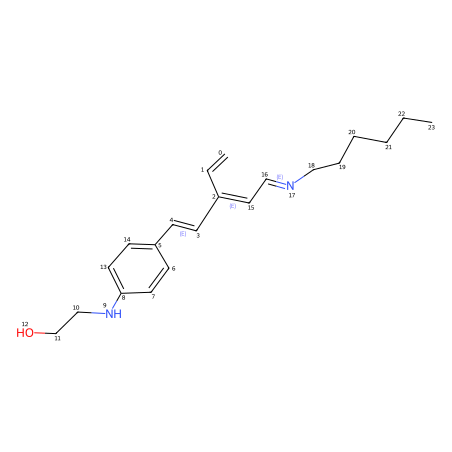 C=CC(/C=C/c1ccc(NCCO)cc1)=C\C=N\CCCCCC